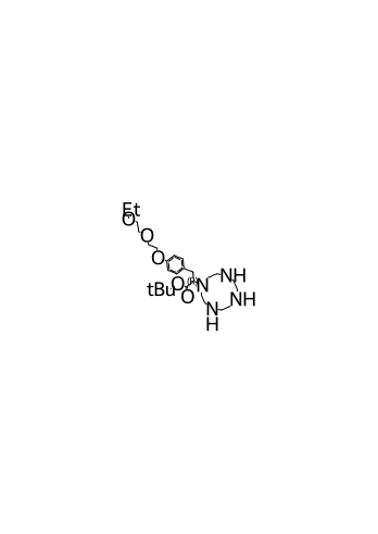 CCOCCOCCOc1ccc(C[C@H](C(=O)OC(C)(C)C)N2CCNCCNCCNCC2)cc1